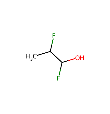 C[C](F)C(O)F